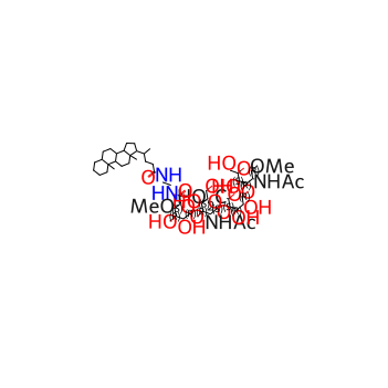 CO[C@@H]1OC(CO)[C@@H](O)[C@H](O[C@@H]2OC(C(=O)O)[C@@H](O[C@@H]3OC(CO)[C@@H](O)[C@H](O[C@@H]4OC(C(=O)NCCNC(=O)CCC(C)C5CCC6C7CCC8CCCCC8(C)C7CCC56C)[C@@H](OC)[C@H](O)C4O)C3NC(C)=O)[C@H](O)C2O)C1NC(C)=O